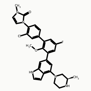 COc1c(-c2ccc(-n3ccn(C)c3=O)c(Cl)c2)cc(F)cc1-c1cc(N2CCN[C@H](C)C2)c2cc[nH]c2c1